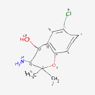 CC1(C)Oc2ccc(Cl)cc2C(O)C1N